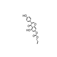 C=CCOC(=O)Oc1cc(O)c2c(=O)c(-c3ccc(O)cc3)coc2c1